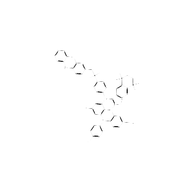 CC(C)(C)c1ccc(N2c3ccc(C(C)(C)C)cc3B3c4sc5cc6c(cc5c4N(c4ccc(C(C)(C)Cc5ccc7c(c5)Oc5ccccc5N7)cc4)c4cc(Cl)cc2c43)C(C)(C)CCC6(C)C)cc1